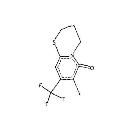 Cc1c(C(F)(F)F)cc2n(c1=O)CCCS2